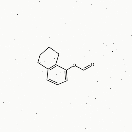 O=COc1cccc2c1CCCC2